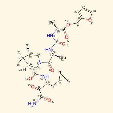 CC(C)[C@H](NC(=O)N[C@H](C(=O)N1C[C@H]2[C@@H]([C@H]1C(=O)NC(CC1CC1)C(=O)C(N)=O)C2(C)C)C(C)(C)C)C(=O)OCc1ccco1